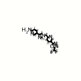 Nc1ccc(-c2cn(Cc3ccc(-c4nnc(C(F)F)o4)cn3)cn2)cn1